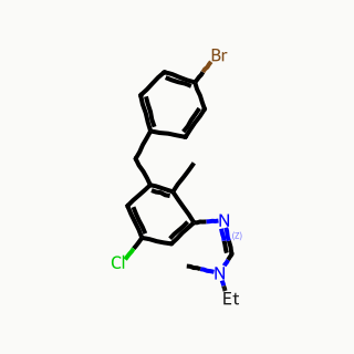 CCN(C)/C=N\c1cc(Cl)cc(Cc2ccc(Br)cc2)c1C